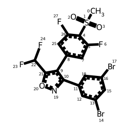 CS(=O)(=O)c1c(F)cc(-c2c(-c3cc(Br)cc(Br)c3)noc2C(F)F)cc1F